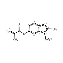 C=C(C)C(=O)Oc1ccc2[nH]c(C)c(C(=O)O)c2c1